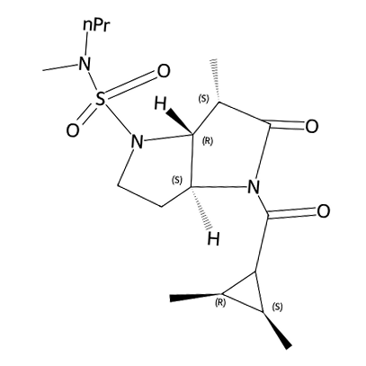 CCCN(C)S(=O)(=O)N1CC[C@H]2[C@H]1[C@H](C)C(=O)N2C(=O)C1[C@@H](C)[C@H]1C